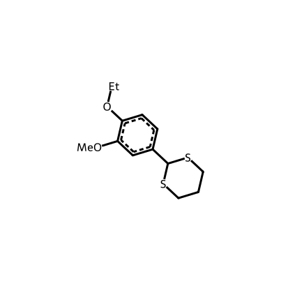 CCOc1ccc(C2SCCCS2)cc1OC